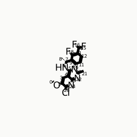 COc1cc2c(N[C@H](C)c3cccc(C(F)F)c3F)nc(C)nc2nc1Cl